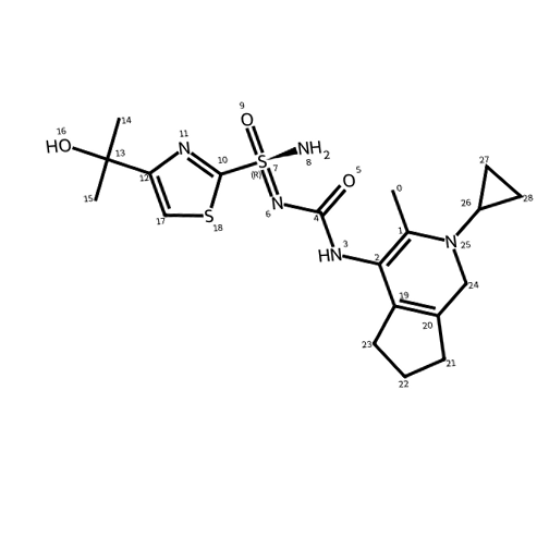 CC1=C(NC(=O)N=[S@@](N)(=O)c2nc(C(C)(C)O)cs2)C2=C(CCC2)CN1C1CC1